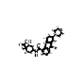 CC1(C(=O)O)CCC(NC(=O)c2cccn3c(=O)c4cc(N5CCOCC5)ccc4nc23)CC1